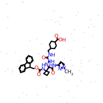 Cn1ccc(NC(=O)C(=NNC(=O)NCC2CCC(C(=O)O)CC2)C2(NC(=O)OCC3c4ccccc4-c4ccccc43)CCC2)n1